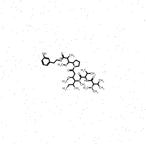 CCC(C)C(C(CC(=O)N1CCCC1C(SC)C(C)C(=O)NCCc1cccc(O)c1)OC)N(C)C(=O)C(NC(=O)C(C(C)C)N(C)C)C(C)C